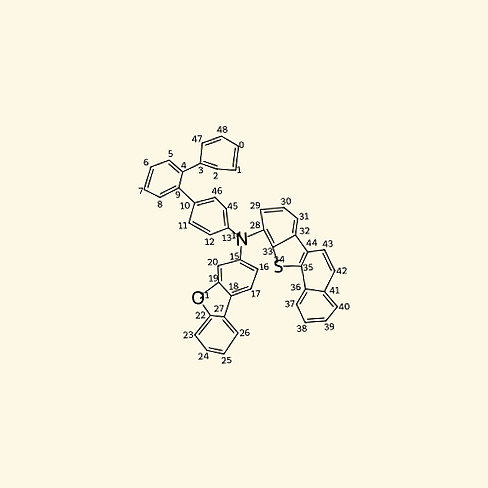 c1ccc(-c2ccccc2-c2ccc(N(c3ccc4c(c3)oc3ccccc34)c3cccc4c3sc3c5ccccc5ccc43)cc2)cc1